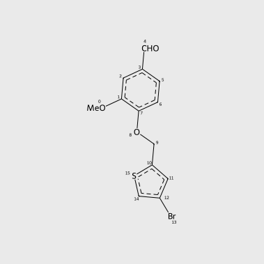 COc1cc(C=O)ccc1OCc1cc(Br)cs1